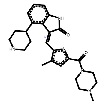 Cc1cc(C(=O)N2CCN(C)CC2)[nH]c1/C=C1\C(=O)Nc2cccc(C3CCNCC3)c21